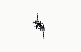 CCCCCCCCCCCC/N=C1N=C/C(=C2/C(=O)C(c3cnc(NCCCCCCCCCCCC)c(C)n3)=C2O)N=C\1C